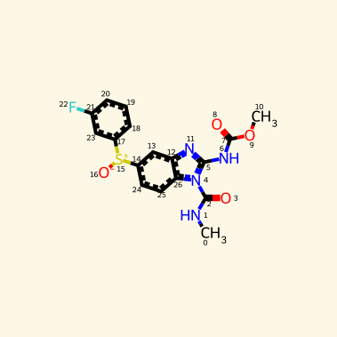 CNC(=O)n1c(NC(=O)OC)nc2cc([S+]([O-])c3cccc(F)c3)ccc21